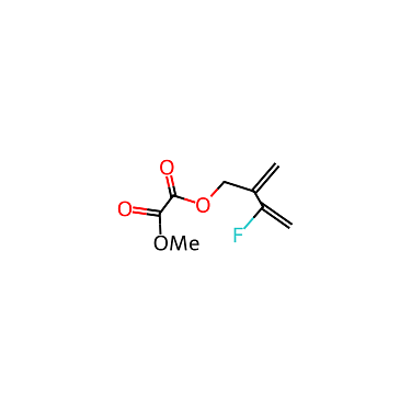 C=C(F)C(=C)COC(=O)C(=O)OC